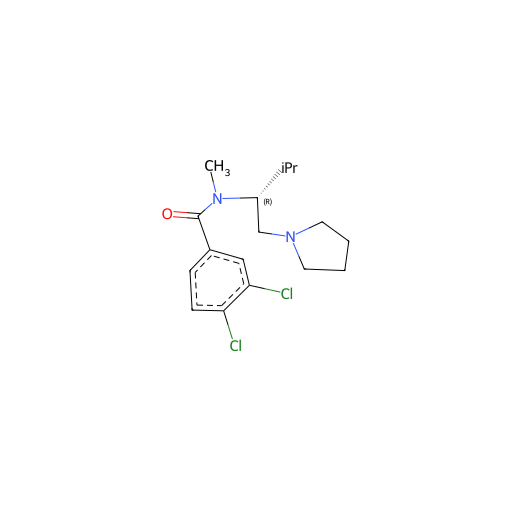 CC(C)[C@H](CN1CCCC1)N(C)C(=O)c1ccc(Cl)c(Cl)c1